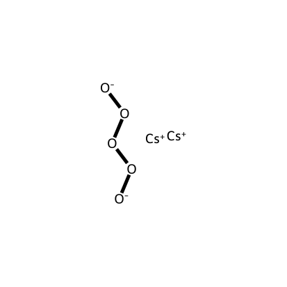 [Cs+].[Cs+].[O-]OOO[O-]